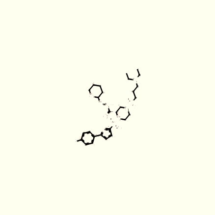 CCN(CC)CCCS(=O)(=O)N1CCN(S(=O)(=O)c2ccc(-c3ccc(F)cc3)s2)[C@@H](C(=O)NOC2CCCCO2)C1